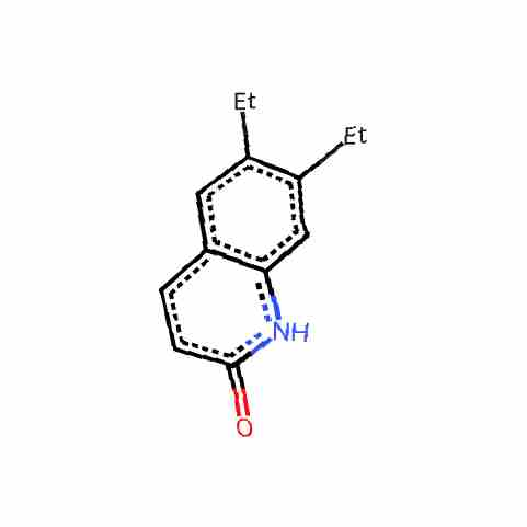 CCc1cc2ccc(=O)[nH]c2cc1CC